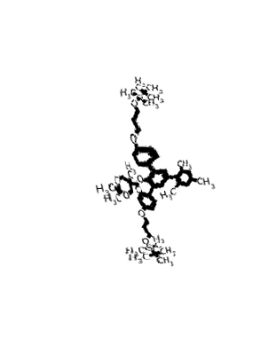 Cc1cc(C)c(-c2cc(-c3ccc(OCCCO[Si](C)(C)C(C)(C)C)cc3)c(OC(=O)C3(C)COC(C)(C)OC3)c(-c3ccc(OCCCO[Si](C)(C)C(C)(C)C)cc3)c2)c(C)c1